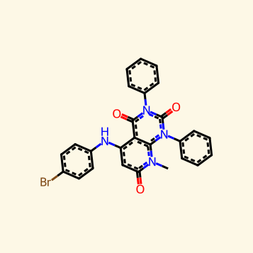 Cn1c(=O)cc(Nc2ccc(Br)cc2)c2c(=O)n(-c3ccccc3)c(=O)n(-c3ccccc3)c21